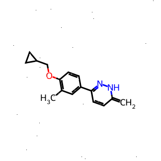 C=C1C=CC(c2ccc(OCC3CC3)c(C)c2)=NN1